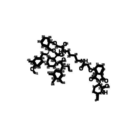 C=C1CCC(N2C(=O)c3cccc(OCC(=O)NCCCCNC(=O)COc4ccccc4[C@@H](CCc4ccc(OC)c(C)c4)OC(=O)[C@@H]4CCCCN4C(=O)[C@@H](CC)c4cc(C)c(C)c(C)c4)c3C2=O)C(=O)N1